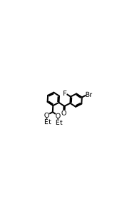 CCOC(OCC)c1ccccc1C(=O)c1ccc(Br)cc1F